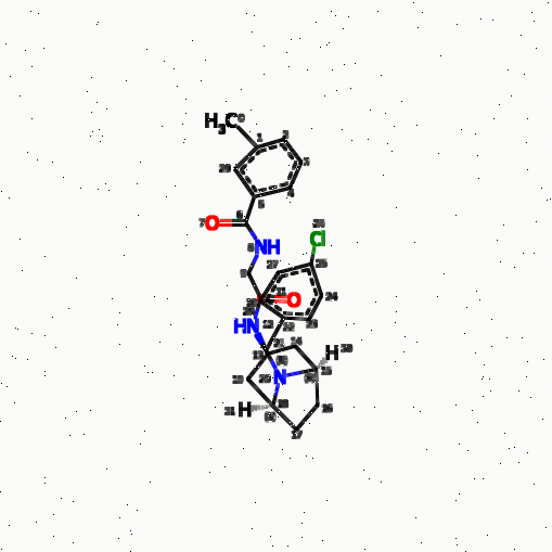 Cc1cccc(C(=O)NCC(=O)N[C@H]2C[C@H]3CC[C@@H](C2)N3Cc2ccc(Cl)cc2)c1